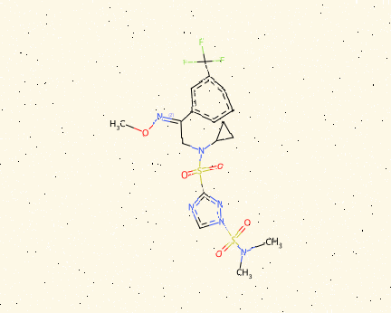 CO/N=C(\CN(C1CC1)S(=O)(=O)c1ncn(S(=O)(=O)N(C)C)n1)c1cccc(C(F)(F)F)c1